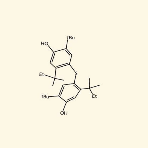 CCC(C)(C)c1cc(O)c(C(C)(C)C)cc1Sc1cc(C(C)(C)C)c(O)cc1C(C)(C)CC